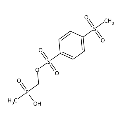 CP(=O)(O)COS(=O)(=O)c1ccc(S(C)(=O)=O)cc1